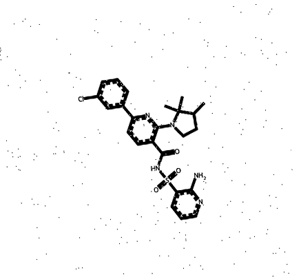 CC1CCN(c2nc(-c3cccc(Cl)c3)ccc2C(=O)NS(=O)(=O)c2cccnc2N)C1(C)C